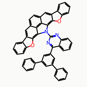 c1ccc(-c2cc(-c3ccccc3)cc(-c3nc(-n4c5c6oc7ccccc7c6cc6ccc7cc8c9ccccc9oc8c4c7c65)nc4ccccc34)c2)cc1